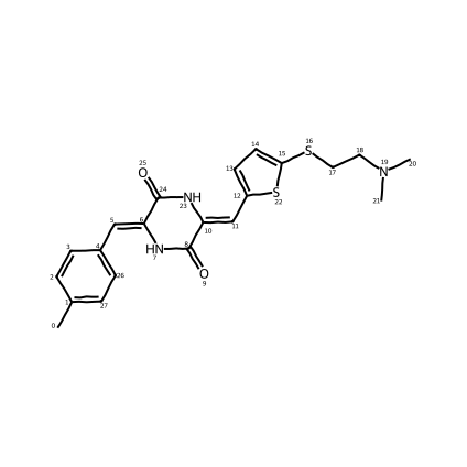 Cc1ccc(C=c2[nH]c(=O)c(=Cc3ccc(SCCN(C)C)s3)[nH]c2=O)cc1